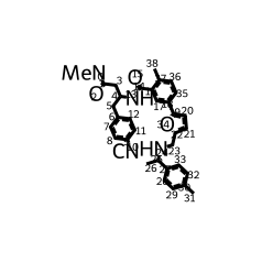 CNC(=O)CC(Cc1ccc(C#N)cc1)NC(=O)c1cc(-c2ccc(CNC(C)c3ccc(C)cc3)o2)ccc1C